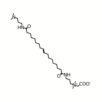 CN(C)CCCNC(=O)CCCCCCC/C=C/CCCCCCCC(=O)NCCC[N+](C)(C)CC(=O)[O-]